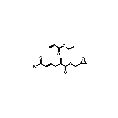 C=C(CC=CC(=O)O)C(=O)OCC1CO1.C=CC(=O)OCC